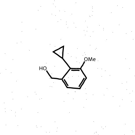 COc1cccc([CH]O)c1C1CC1